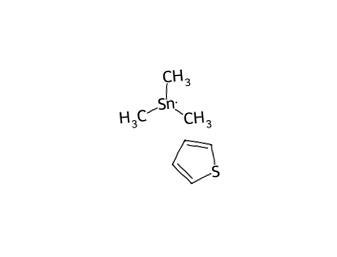 [CH3][Sn]([CH3])[CH3].c1ccsc1